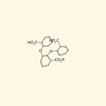 O=C(O)c1ccccc1Oc1cccc(C(=O)O)c1Oc1ccccc1C(=O)O